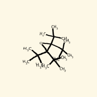 CC(C)(C)C1(C(C)(C)C)OC1(C(C)(C)C)C(C)(C)C